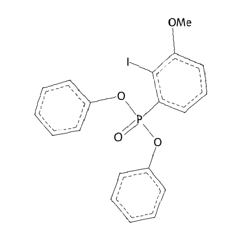 COc1cccc(P(=O)(Oc2ccccc2)Oc2ccccc2)c1I